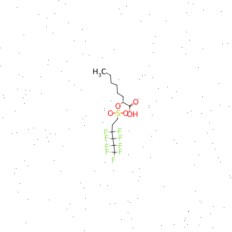 CCCCCCC(OS(=O)(=O)CCC(F)(F)C(F)(F)C(F)(F)C(F)(F)F)C(=O)O